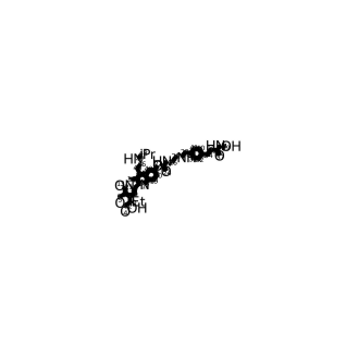 CC[C@@]1(O)C(=O)OCc2c1cc1n(c2=O)Cc2c-1nc1ccc(OC(=O)NCCNCc3ccc(/C=C/C(=O)NO)cc3)cc1c2CCNC(C)C